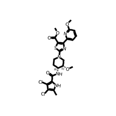 COC(=O)c1sc(N2CC[C@@H](NC(=O)c3[nH]c(C)c(Cl)c3Cl)[C@@H](OC)C2)nc1-c1cccc(OC)n1